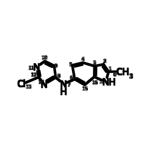 Cc1cc2ccc(Nc3ccnc(Cl)n3)cc2[nH]1